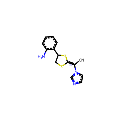 N#C/C(=C1/SCC(c2ccccc2N)S1)n1ccnc1